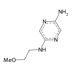 COCCNc1cnc(N)cn1